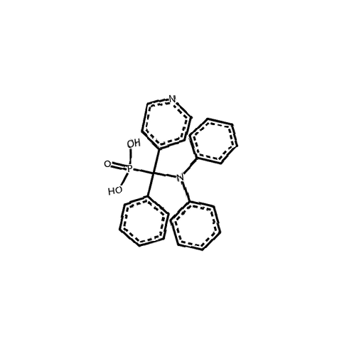 O=P(O)(O)C(c1ccccc1)(c1ccncc1)N(c1ccccc1)c1ccccc1